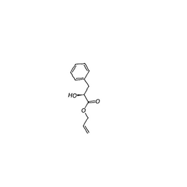 C=CCOC(=O)[C@@H](O)Cc1ccccc1